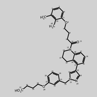 Cc1cccc(OCCCC(=O)N2CCCc3c(-c4cnn(Cc5cccc(OCCCC(=O)O)c5)c4)cccc32)c1C